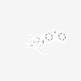 CC(N)(C(=O)c1ccc(C(=O)c2ccccc2)cc1)C(CCO)CCO